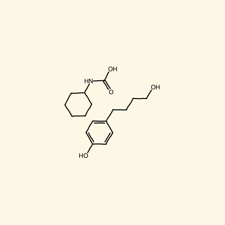 O=C(O)NC1CCCCC1.OCCCCc1ccc(O)cc1